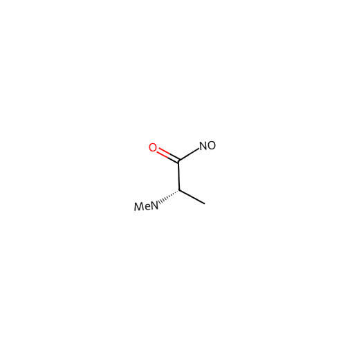 CN[C@@H](C)C(=O)N=O